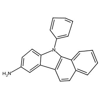 Nc1ccc2c(c1)c1ccc3ccccc3c1n2-c1ccccc1